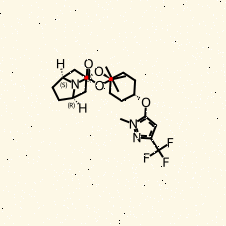 Cn1nc(C(F)(F)F)cc1O[C@H]1CC[C@H](O[C@@H]2C[C@H]3CC[C@@H](C2)N3C(=O)OC(C)(C)C)CC1